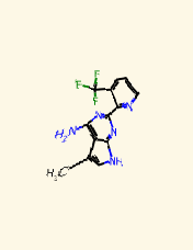 Cc1c[nH]c2nc(-c3ncccc3C(F)(F)F)nc(N)c12